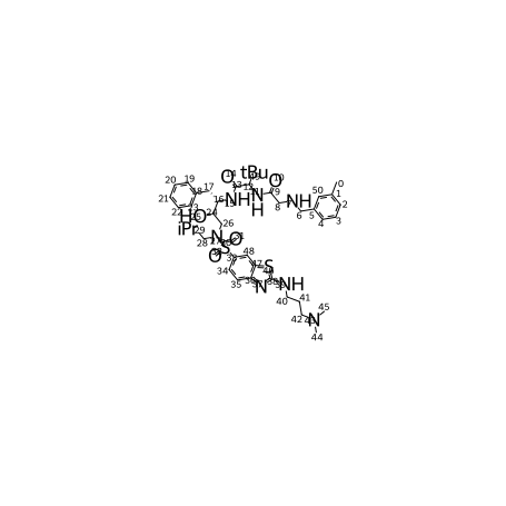 Cc1cccc(CNCC(=O)NC(C(=O)N[C@@H](Cc2ccccc2)[C@H](O)CN(CC(C)C)S(=O)(=O)c2ccc3nc(NCCCN(C)C)sc3c2)C(C)(C)C)c1